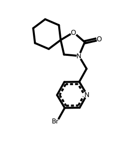 O=C1OC2(CCCCC2)CN1Cc1ccc(Br)cn1